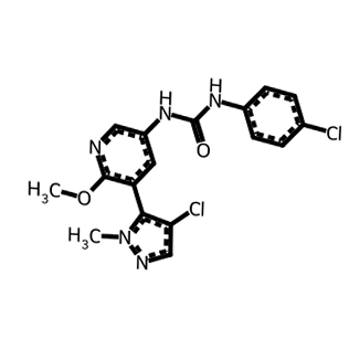 COc1ncc(NC(=O)Nc2ccc(Cl)cc2)cc1-c1c(Cl)cnn1C